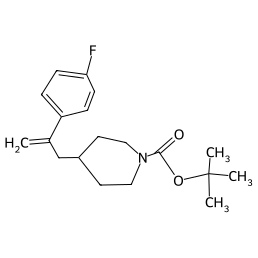 C=C(CC1CCN(C(=O)OC(C)(C)C)CC1)c1ccc(F)cc1